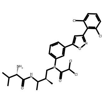 CC(NC(=O)[C@@H](N)C(C)C)[C@H](C)CN(C(=O)C(Cl)Cl)c1cccc(-c2cc(-c3c(Cl)cccc3Cl)no2)c1